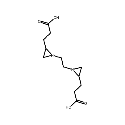 O=C(O)CCC1CN1CCN1CC1CCC(=O)O